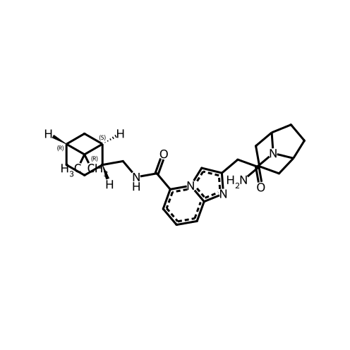 CC1(C)[C@@H]2CC[C@@H](CNC(=O)c3cccc4nc(CC(=O)N5C6CCC5CC(N)C6)cn34)[C@@H]1C2